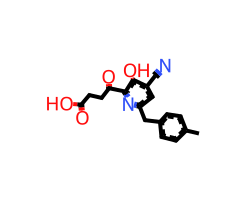 Cc1ccc(Cc2cc(C#N)c(O)c(C(=O)CCC(=O)O)n2)cc1